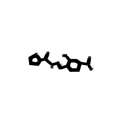 O=C(N/N=C/c1ccc([N+](=O)[O-])cc1O)c1ccco1